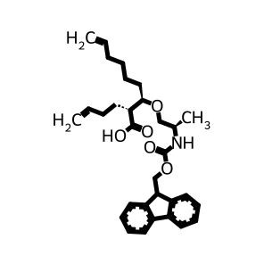 C=CCCCC[C@@H](OC[C@@H](C)NC(=O)OCC1c2ccccc2-c2ccccc21)[C@@H](CCC=C)C(=O)O